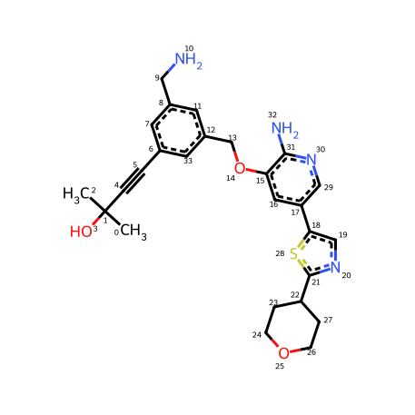 CC(C)(O)C#Cc1cc(CN)cc(COc2cc(-c3cnc(C4CCOCC4)s3)cnc2N)c1